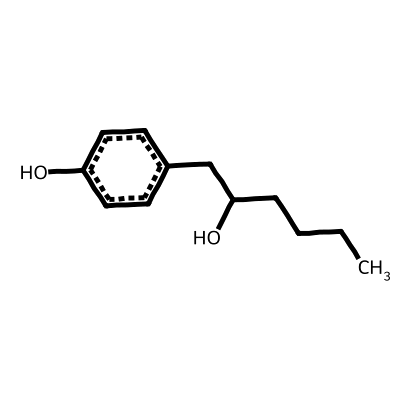 CCCCC(O)Cc1ccc(O)cc1